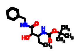 CC[C@H](NC(=O)OC(C)(C)C)C(O)C(=O)NCc1ccccc1